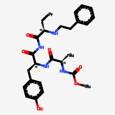 CCCC[C@H](NC(=O)OC(C)(C)C)C(=O)N[C@@H](Cc1ccc(O)cc1)C(=O)NC(=O)[C@H](CC(C)C)NCCc1ccccc1